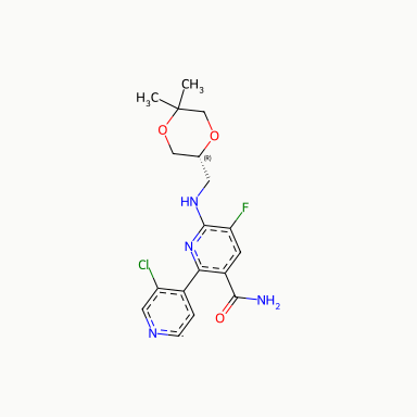 CC1(C)CO[C@H](CNc2nc(-c3c[c]ncc3Cl)c(C(N)=O)cc2F)CO1